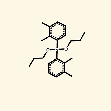 CCCO[Si](OCCC)(c1cccc(C)c1C)c1cccc(C)c1C